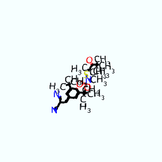 CN(SC(C)(C)C(=O)C(C)(C)C)C(=O)OC1C(C(C)(C)C)=CC(=CC(C#N)C#N)C=C1C(C)(C)C